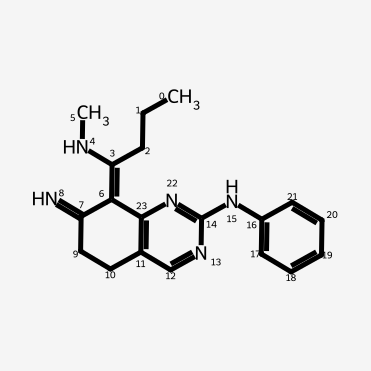 CCC/C(NC)=C1/C(=N)CCc2cnc(Nc3ccccc3)nc21